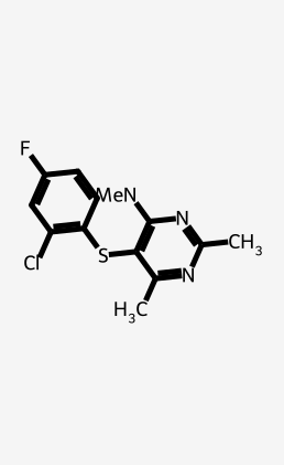 CNc1nc(C)nc(C)c1Sc1ccc(F)cc1Cl